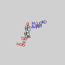 CC(C)C1=C2[C@H]3CC[C@@H]4[C@@]5(C)CC[C@H](OC(=O)[C@H]6C[C@@H](C(=O)O)C6(C)C)C(C)(C)[C@@H]5CC[C@@]4(C)[C@]3(C)CC[C@@]2(CCNCC(C)(C)NC(=O)c2ccc(N3CCCCC3)cc2)CC1=O